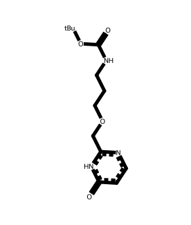 CC(C)(C)OC(=O)NCCCOCc1nccc(=O)[nH]1